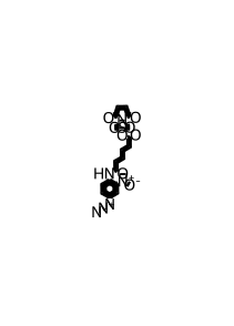 [N-]=[N+]=Nc1ccc(NCCCCCC(=O)OS(=O)(=O)N2C(=O)CCC2=O)c([N+](=O)[O-])c1